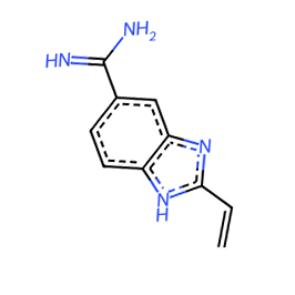 C=Cc1nc2cc(C(=N)N)ccc2[nH]1